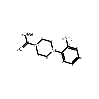 COC(=O)N1CCN(c2ccccc2N)CC1